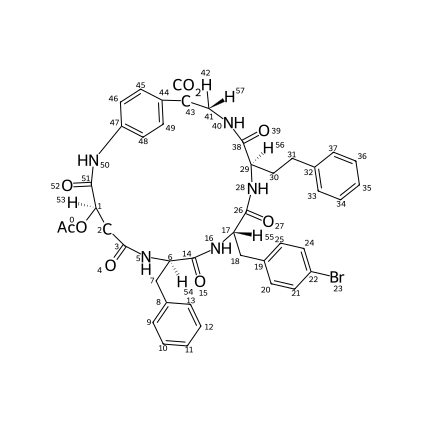 CC(=O)O[C@@H]1CC(=O)N[C@H](Cc2ccccc2)C(=O)N[C@@H](Cc2ccc(Br)cc2)C(=O)N[C@H](CCc2ccccc2)C(=O)N[C@@H](C(=O)O)Cc2ccc(cc2)NC1=O